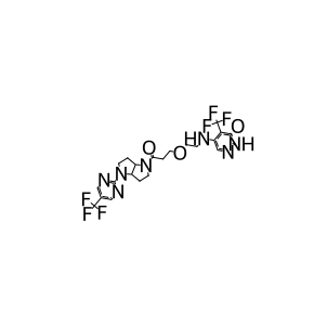 O=C(CCOCCNc1cn[nH]c(=O)c1C(F)(F)F)N1CCC2C1CCN2c1ncc(C(F)(F)F)cn1